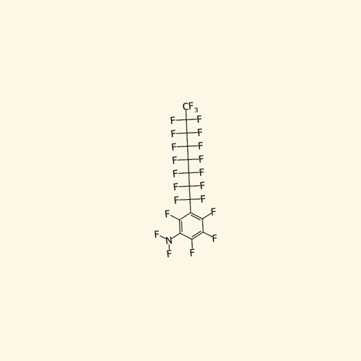 Fc1c(F)c(N(F)F)c(F)c(C(F)(F)C(F)(F)C(F)(F)C(F)(F)C(F)(F)C(F)(F)C(F)(F)C(F)(F)F)c1F